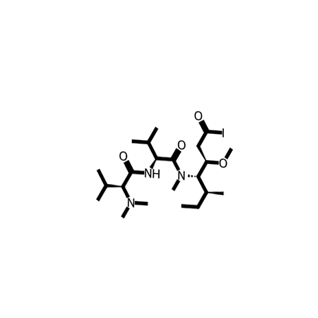 CC[C@H](C)[C@@H]([C@@H](CC(=O)I)OC)N(C)C(=O)[C@@H](NC(=O)[C@H](C(C)C)N(C)C)C(C)C